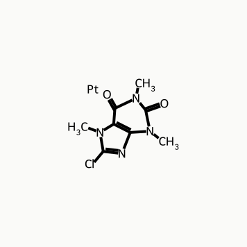 Cn1c(=O)c2c(nc(Cl)n2C)n(C)c1=O.[Pt]